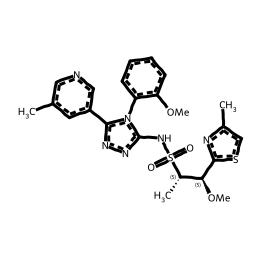 COc1ccccc1-n1c(NS(=O)(=O)[C@@H](C)[C@H](OC)c2nc(C)cs2)nnc1-c1cncc(C)c1